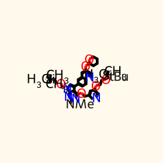 CNc1nc(OCc2cncc(OCCO[Si](C)(C)C(C)(C)C)c2)c2c(-c3ccc4ncc(OC5CCCCO5)cc4c3)cn(COCC[Si](C)(C)C)c2n1